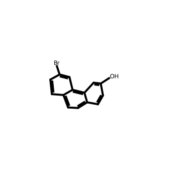 Oc1ccc2ccc3ccc(Br)cc3c2c1